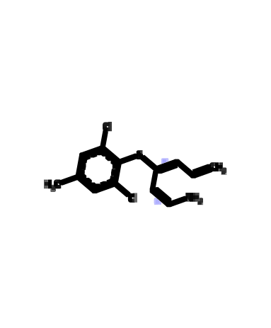 C=C/C=C(\C=C/N)Sc1c(Cl)cc(C)cc1Cl